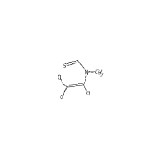 CN(C=S)C(Cl)=C(Cl)Cl